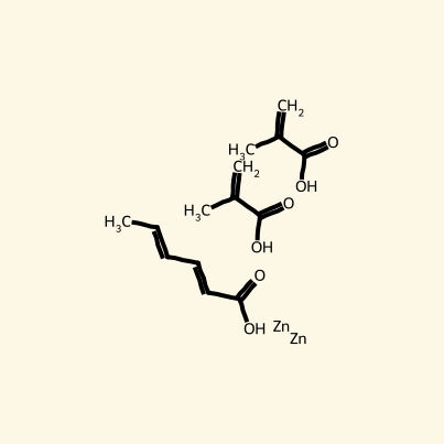 C/C=C/C=C/C(=O)O.C=C(C)C(=O)O.C=C(C)C(=O)O.[Zn].[Zn]